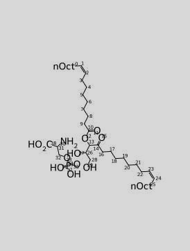 CCCCCCCC/C=C\CCCCCCCC(=O)OC(C(=O)CCCCCCC/C=C\CCCCCCCC)C(O)CO.NC(COP(=O)(O)O)C(=O)O